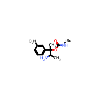 CC(N)C(C)(OC(=O)NC(C)(C)C)c1cccc([N+](=O)[O-])c1